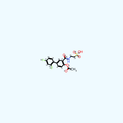 CC(=O)Oc1ccc(-c2ccc(F)cc2F)cc1C(=O)NCCS(=O)(=O)O